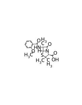 COc1ccccc1C(=O)N[C@@]1(C)C(=O)N2[C@@H](C(=O)O)C(C)(C)S[C@@H]21